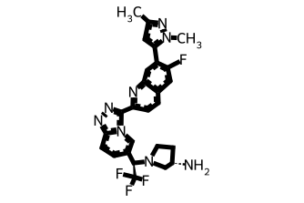 Cc1cc(-c2cc3nc(-c4nnc5ccc([C@@H](N6CC[C@H](N)C6)C(F)(F)F)cn45)ccc3cc2F)n(C)n1